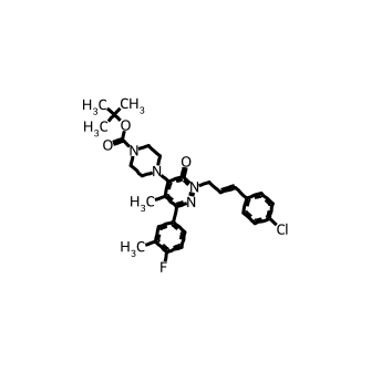 Cc1cc(-c2nn(CC=Cc3ccc(Cl)cc3)c(=O)c(N3CCN(C(=O)OC(C)(C)C)CC3)c2C)ccc1F